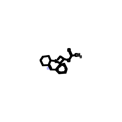 CC(=O)OC1CN(C2CCCC/C2=C/c2ccccc2)C1